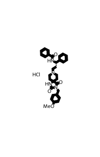 COc1ccc(CN2C(=O)NC3(CCN(CC[C@H](NC(=O)c4ccccc4)c4ccccc4)CC3)C2=O)cc1.Cl